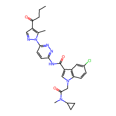 CCCC(=O)c1cnn(-c2ccc(NC(=O)c3cn(CC(=O)N(C)C4CC4)c4ccc(Cl)cc34)nn2)c1C